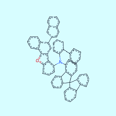 c1ccc(-c2ccccc2N(c2cccc3c2-c2ccccc2C32c3ccccc3-c3ccccc32)c2cccc3oc4c5ccccc5c(-c5ccc6ccccc6c5)cc4c23)cc1